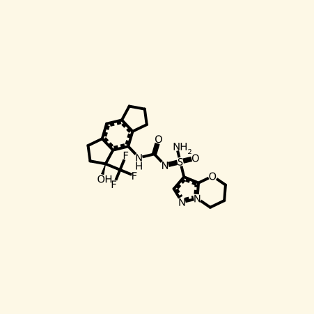 NS(=O)(=NC(=O)Nc1c2c(cc3c1[C@](O)(C(F)(F)F)CC3)CCC2)c1cnn2c1OCCC2